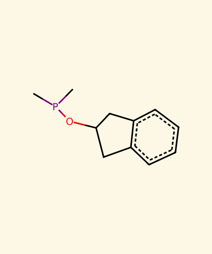 CP(C)OC1Cc2ccccc2C1